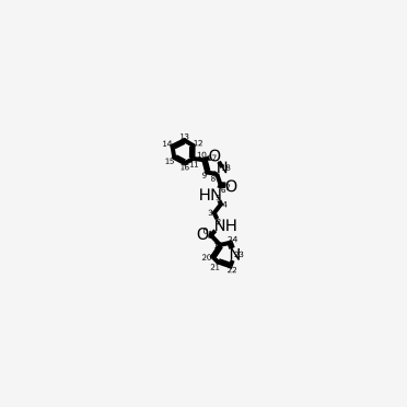 O=C(NCCNC(=O)c1cc(-c2ccccc2)on1)c1cccnc1